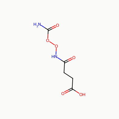 NC(=O)OONC(=O)CCC(=O)O